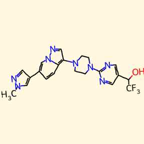 Cn1cc(-c2ccc3c(N4CCN(c5ncc(C(O)C(F)(F)F)cn5)CC4)cnn3c2)cn1